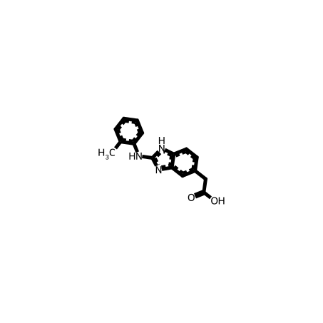 Cc1ccccc1Nc1nc2cc(CC(=O)O)ccc2[nH]1